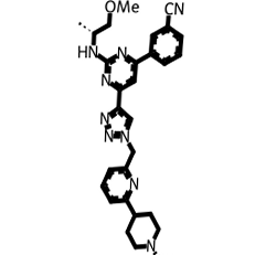 COC[C@@H](C)Nc1nc(-c2cccc(C#N)c2)cc(-c2cn(Cc3cccc(C4CCN(OC(C)=O)CC4)n3)nn2)n1